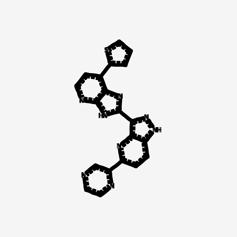 c1csc(-c2ccnc3[nH]c(-c4n[nH]c5ccc(-c6cnccn6)nc45)nc23)c1